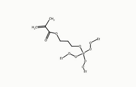 C=C(C)C(=O)OCCCO[Si](OOCC)(OOCC)OOCC